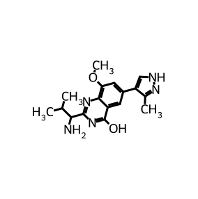 COc1cc(-c2c[nH]nc2C)cc2c(O)nc(C(N)C(C)C)nc12